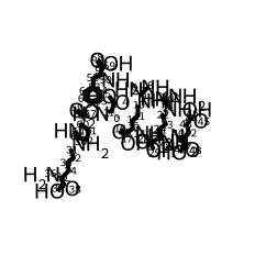 C[C@H](N)C(=O)O.N=C(N)NCCC[C@H](N)C(=O)O.N=C(N)NCCC[C@H](N)C(=O)O.NCCCC[C@H](N)C(=O)O.N[C@@H](CCC(=O)O)C(=O)O.N[C@@H](Cc1ccc(OC(=O)[C@@H]2CCCN2)cc1)C(=O)O